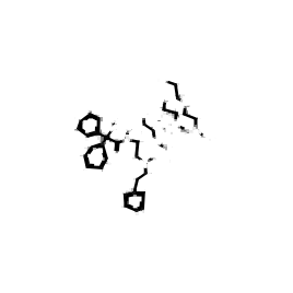 CC(C)OCCO.CCCCCCOCCCCCC.CCCOCCO.CCOC(C(=O)N(C)CCN(C)CCc1ccccc1)(c1ccccc1)c1ccccc1.[CH2]CCCOCCOCCO